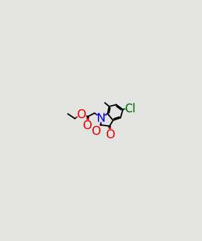 CCOC(=O)CN1C(=O)C(=O)c2cc(Cl)cc(C)c21